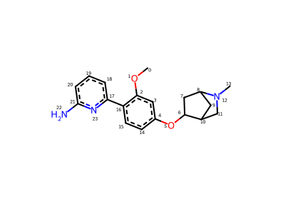 COc1cc(OC2CC3CC2CN3C)ccc1-c1cccc(N)n1